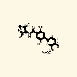 CSNc1nc(-c2cc(O)c(C(=O)Nc3c(C)n[nH]c3Cl)cc2F)ccc1C